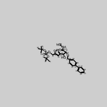 CC(C)(C)OP(=O)(OCc1cc([C@H](O)[C@](C)(OCc2ccc(-c3ccccc3)cc2)C(=O)NO)no1)OC(C)(C)C